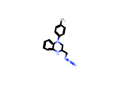 [N-]=[N+]=NCC1CN(c2ccc(C(F)(F)F)cc2)c2ccccc2N1